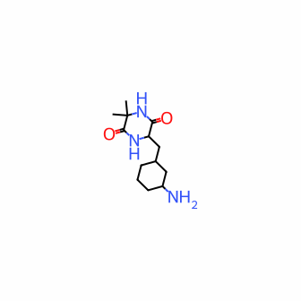 CC1(C)NC(=O)C(CC2CCCC(N)C2)NC1=O